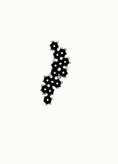 c1ccc(-c2ccc(-c3c4ccccc4c(-c4cccc5c4oc4cccc(-c6c7ccccc7c(-c7ccc(-c8ccccc8)c8ccccc78)c7ccccc67)c45)c4ccccc34)c3ccccc23)cc1